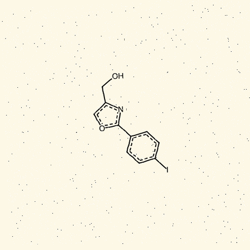 OCc1coc(-c2ccc(I)cc2)n1